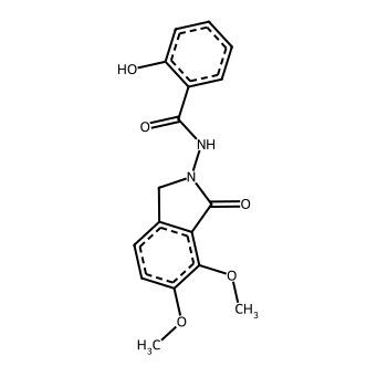 COc1ccc2c(c1OC)C(=O)N(NC(=O)c1ccccc1O)C2